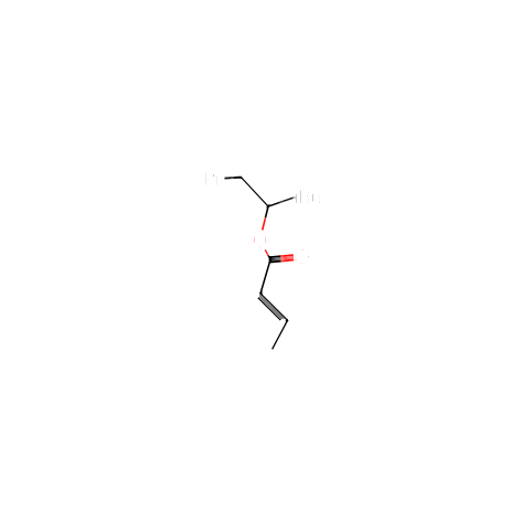 CC=CC(=O)OC(CC(C)C)C(C)CC